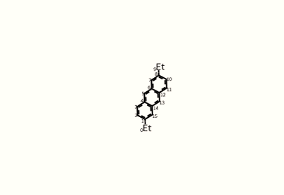 CCc1ccc2cc3cc(CC)ccc3cc2c1